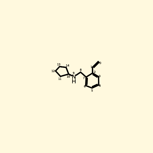 C=Cc1ccccc1CNC1CCCC1